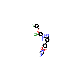 CN1CCN(S(=O)(=O)c2ccc(-c3ccc4cnnc(Nc5ccc(OCc6cccc(F)c6)c(Cl)c5)c4c3)cc2)CC1